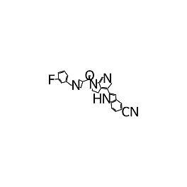 N#Cc1ccc2[nH]c(-c3cncc4c3CCN4C(=O)C3CN(Cc4cccc(F)c4)C3)cc2c1